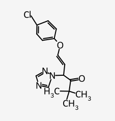 CC(C)(C)C(=O)C(C=COc1ccc(Cl)cc1)n1cncn1